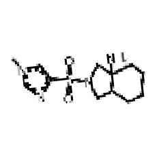 Cn1cnc(S(=O)(=O)N2CC3CCCCC3(N)C2)c1